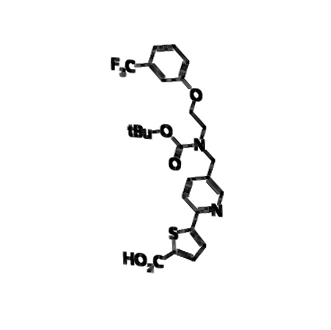 CC(C)(C)OC(=O)N(CCOc1cccc(C(F)(F)F)c1)Cc1ccc(-c2ccc(C(=O)O)s2)nc1